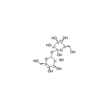 OC[C@H]1OC(O)(OC2O[C@H](CO)[C@H](O)[C@H](O)[C@H]2S)[C@H](O)[C@@H](O)[C@H]1O